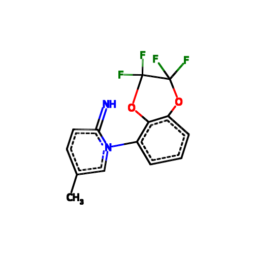 Cc1ccc(=N)n(-c2cccc3c2OC(F)(F)C(F)(F)O3)c1